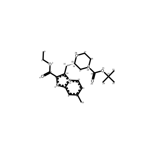 CCOC(=O)c1nc2cc(C)ccn2c1C[C@H]1CN(C(=O)OC(C)(C)C)CCO1